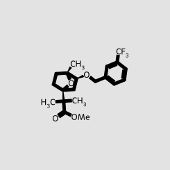 COC(=O)C(C)(C)[C@@]12CC[C@@](C)(O1)[C@@H](OCc1cccc(C(F)(F)F)c1)C2